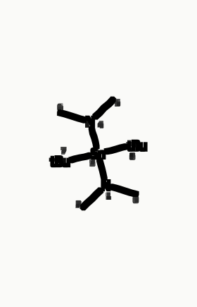 C[N](C)[Sn]([N](C)C)([C](C)(C)C)[C](C)(C)C